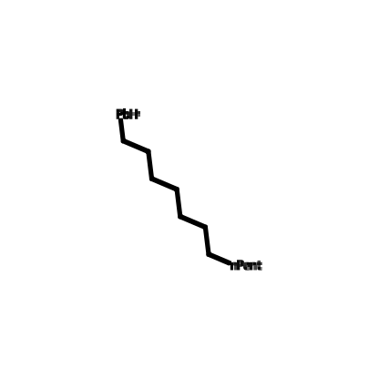 CCCCCCCCCCC[CH2][PbH]